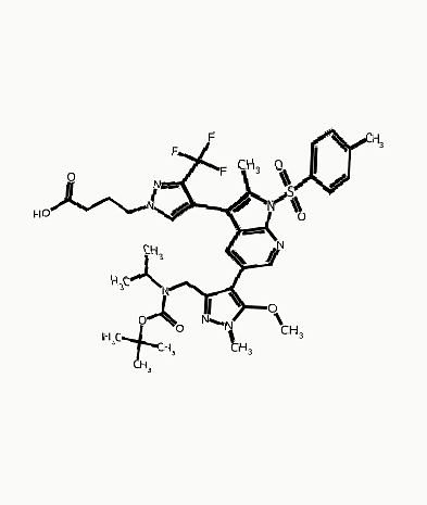 COc1c(-c2cnc3c(c2)c(-c2cn(CCCC(=O)O)nc2C(F)(F)F)c(C)n3S(=O)(=O)c2ccc(C)cc2)c(CN(C(=O)OC(C)(C)C)C(C)C)nn1C